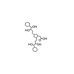 O=C(O)CC1CC(CCC(O)C(O)C2CCCCC2)CC1CCC(O)C(O)C1CCCCC1